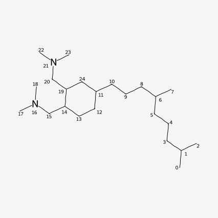 CC(C)CCCC(C)CCCC1CCC(CN(C)C)C(CN(C)C)C1